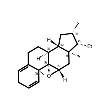 CC[C@H]1[C@@H](C)C[C@H]2[C@@H]3CCC4=CCC=C[C@]4(C)[C@@]34O[C@H]4C[C@]12C